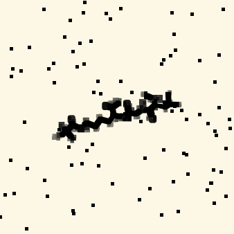 CC(C)C[C@H](NI)C(=O)NCC(=O)N[C@@H](CCCCNC(=O)C(F)(F)F)C(=O)I